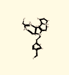 FCc1ccc(CCn2c3c(c4nc(CF)ncc42)C2CCCN2CC3)cc1